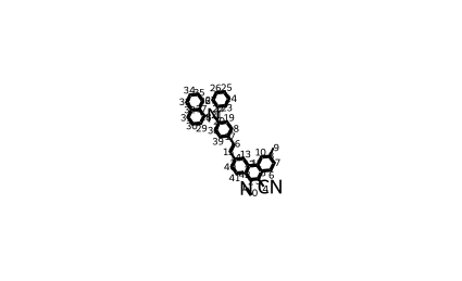 C=Nc1c(C#N)c2ccc(C)cc2c2cc(C=Cc3ccc(N(c4ccccc4)c4cccc5ccccc45)cc3)ccc12